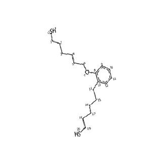 SCCCCCCOc1ccccc1CCCCCCS